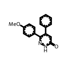 COc1ccc(-c2n[nH]c(=O)cc2-c2ccccc2)cc1